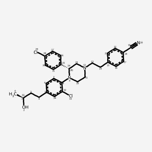 C[C@H](O)CCc1ccc(N2CCN(CCc3ccc(C#N)cc3)C[C@H]2c2ccc(Cl)cc2)c(Cl)c1